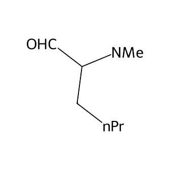 [13CH3]CCCC(C=O)N[13CH3]